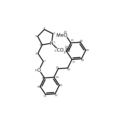 CCOC(=O)N1CCCC1CCOc1ccccc1CCc1cccc(OC)c1